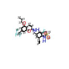 C#Cc1cc(CNC(=O)/C=C\c2ccc(C(F)(F)F)cc2OCCC)cc(F)c1NS(C)(=O)=O